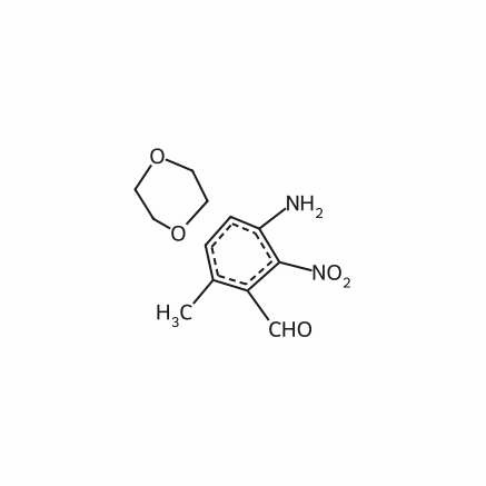 C1COCCO1.Cc1ccc(N)c([N+](=O)[O-])c1C=O